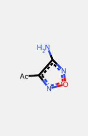 CC(=O)c1nonc1N